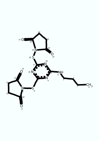 CCCCNc1nc(SN2C(=O)CCC2=O)nc(SN2C(=O)CCC2=O)n1